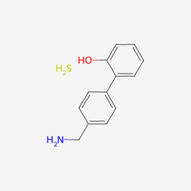 NCc1ccc(-c2ccccc2O)cc1.S